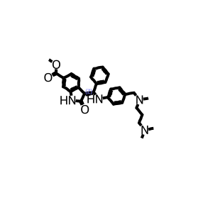 COC(=O)c1ccc2c(c1)NC(=O)/C2=C(\Nc1ccc(CN(C)CCCN(C)C)cc1)c1ccccc1